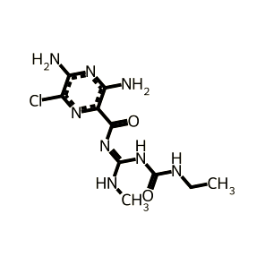 CCNC(=O)NC(=NC(=O)c1nc(Cl)c(N)nc1N)NC